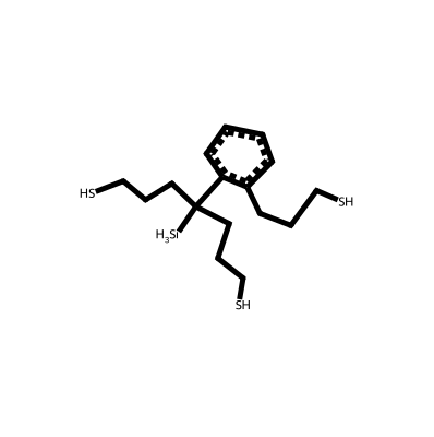 [SiH3]C(CCCS)(CCCS)c1ccccc1CCCS